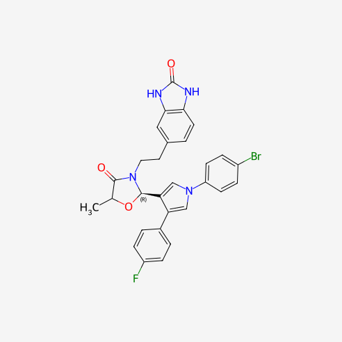 CC1O[C@H](c2cn(-c3ccc(Br)cc3)cc2-c2ccc(F)cc2)N(CCc2ccc3[nH]c(=O)[nH]c3c2)C1=O